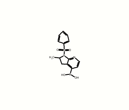 CC1Cc2c(B(O)O)ccnc2N1S(=O)(=O)c1ccccc1